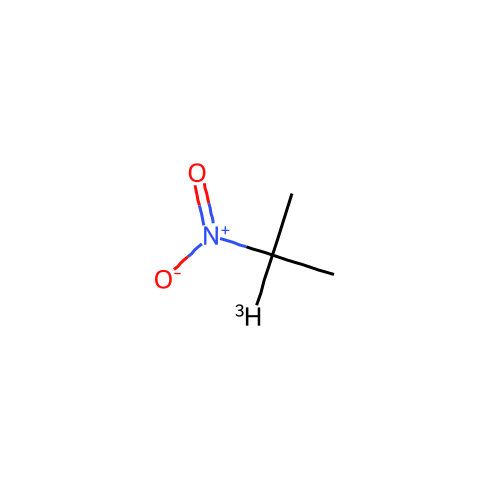 [3H]C(C)(C)[N+](=O)[O-]